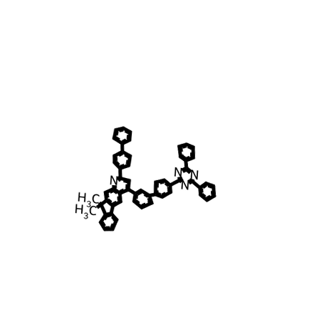 CC1(C)c2ccccc2-c2cc3c(-c4cccc(-c5ccc(-c6nc(-c7ccccc7)nc(-c7ccccc7)n6)cc5)c4)cc(-c4ccc(-c5ccccc5)cc4)nc3cc21